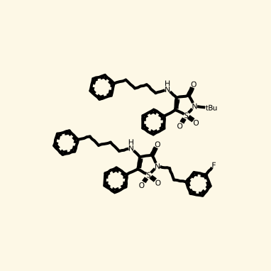 CC(C)(C)N1C(=O)C(NCCCCc2ccccc2)=C(c2ccccc2)S1(=O)=O.O=C1C(NCCCCc2ccccc2)=C(c2ccccc2)S(=O)(=O)N1CCc1cccc(F)c1